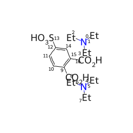 CCN(CC)CC.CCN(CC)CC.O=C(O)c1ccc(S(=O)(=O)O)cc1C(=O)O